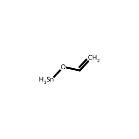 C=C[O][SnH3]